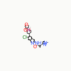 Cn1ccc([C@H]2C[C@@H]2C(=O)Nc2cc3cc(C4CCN([C@]5(C)COC[C@@H]5O)CC4)c(Cl)cc3cn2)n1